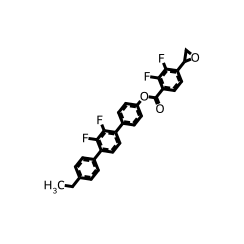 CCc1ccc(-c2ccc(-c3ccc(OC(=O)c4ccc(C5CO5)c(F)c4F)cc3)c(F)c2F)cc1